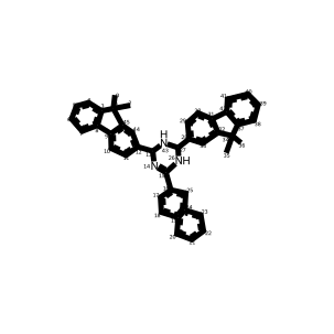 CC1(C)c2ccccc2-c2ccc(C3N=C(c4ccc5ccccc5c4)NC(c4ccc5c(c4)C(C)(C)c4ccccc4-5)N3)cc21